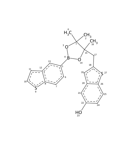 CC1(C)OB(c2ccc3sccc3c2)OC1(C)Cc1cc2cc(O)ccc2s1